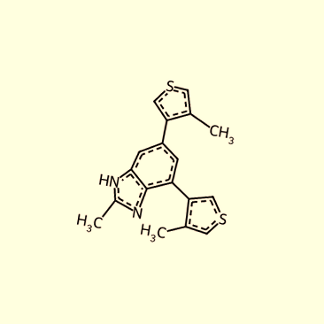 Cc1nc2c(-c3cscc3C)cc(-c3cscc3C)cc2[nH]1